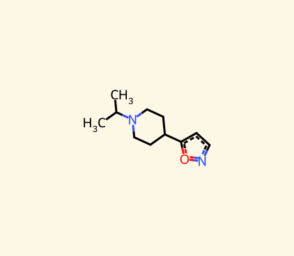 CC(C)N1CCC(c2ccno2)CC1